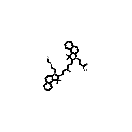 CC(/C=C/C1=[N+](CCOC=O)c2ccc3ccccc3c2C1(C)C)=C\C=C1\N(CCC(=O)O)c2ccc3ccccc3c2C1(C)C